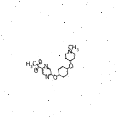 CN1CCC(OC2CCC(Oc3cnc(S(C)(=O)=O)cn3)CC2)CC1